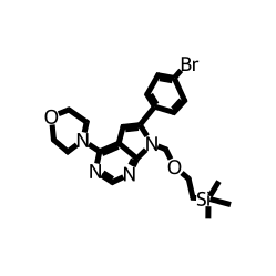 C[Si](C)(C)CCOCn1c(-c2ccc(Br)cc2)cc2c(N3CCOCC3)ncnc21